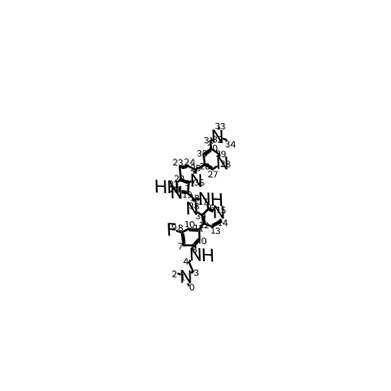 CN(C)CCNc1cc(F)cc(-c2ccnc3[nH]c(-c4n[nH]c5ccc(-c6cncc(CN(C)C)c6)nc45)nc23)c1